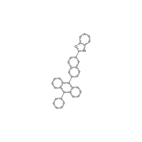 c1ccc(-c2c3ccccc3c(-c3ccc4cc(-c5nc6ccccc6o5)ccc4c3)c3ccccc23)cc1